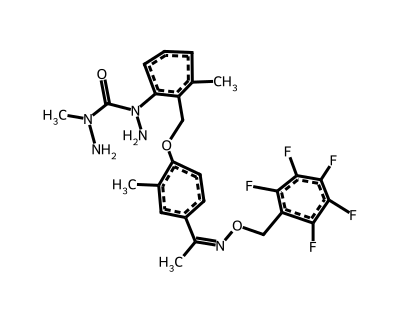 CC(=NOCc1c(F)c(F)c(F)c(F)c1F)c1ccc(OCc2c(C)cccc2N(N)C(=O)N(C)N)c(C)c1